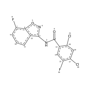 O=C(Nc1noc2c(F)cccc12)c1cc(F)c(Cl)cc1Cl